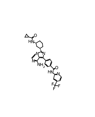 Nc1nccn2c([C@@H]3CCC[C@H](NC(=O)C4CC4)C3)nc(-c3ccc(C(=O)Nc4cc(C(F)(F)F)ccn4)cc3)c12